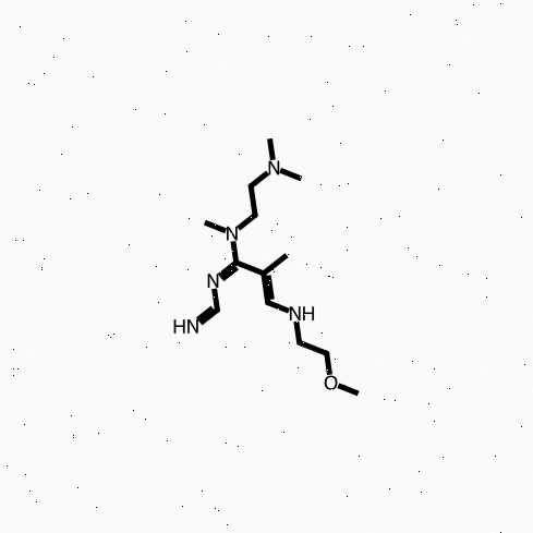 COCCN/C=C(C)/C(=N\C=N)N(C)CCN(C)C